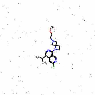 COCCN1CC2(CCN2c2ncc(C(C)C)c3cc(Cl)ncc23)C1